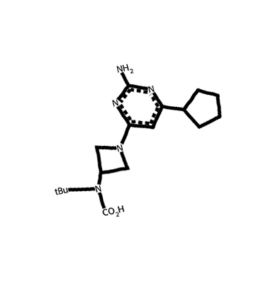 CC(C)(C)N(C(=O)O)C1CN(c2cc(C3CCCC3)nc(N)n2)C1